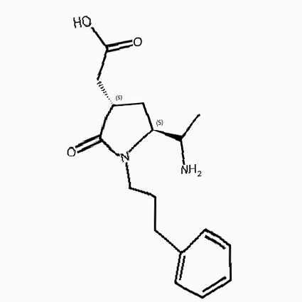 CC(N)[C@@H]1C[C@@H](CC(=O)O)C(=O)N1CCCc1ccccc1